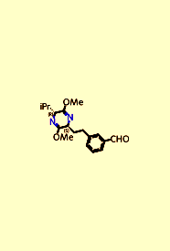 COC1=N[C@H](C(C)C)C(OC)=N[C@H]1CCc1cccc(C=O)c1